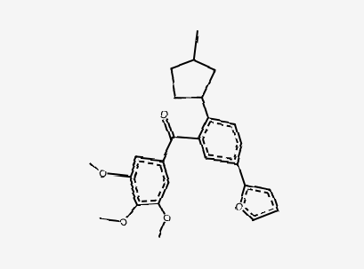 COc1cc(C(=O)c2cc(-c3ccco3)ccc2C2CCC(C)C2)cc(OC)c1OC